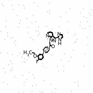 CCOc1cc(N2CCN(C(=O)Cn3nc(-c4ncc[nH]4)c4cccnc43)CC2)ccc1I